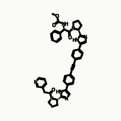 COC(=O)N[C@@H](C(=O)N1CCC[C@H]1c1ncc(-c2ccc(C#Cc3ccc(-c4cnc([C@@H]5CCCN5C(=O)Cc5cccnc5)[nH]4)cc3)cc2)[nH]1)c1ccccc1